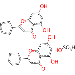 O=S(=O)(O)O.O=c1cc(-c2ccccc2)oc2cc(O)cc(O)c12.O=c1cc(-c2ccccc2)oc2cc(O)cc(O)c12